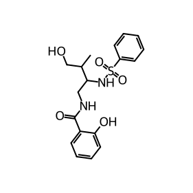 CC(CO)C(CNC(=O)c1ccccc1O)NS(=O)(=O)c1ccccc1